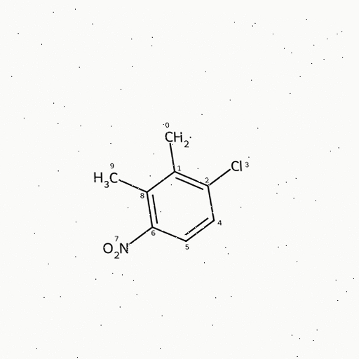 [CH2]c1c(Cl)ccc([N+](=O)[O-])c1C